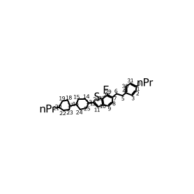 CCCc1ccc(CCc2ccc3cc(C4CCC(C5CCC(CCC)CC5)CC4)sc3c2F)cc1